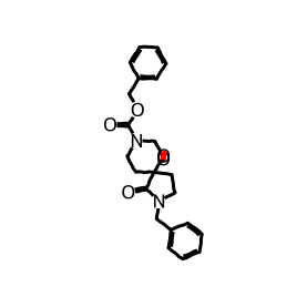 O=C(OCc1ccccc1)N1CCC2(CCN(Cc3ccccc3)C2=O)C2(C1)OCCO2